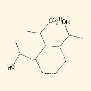 CC(O)C1C[CH]CC(C(C)O)C1C(C)C(=O)O